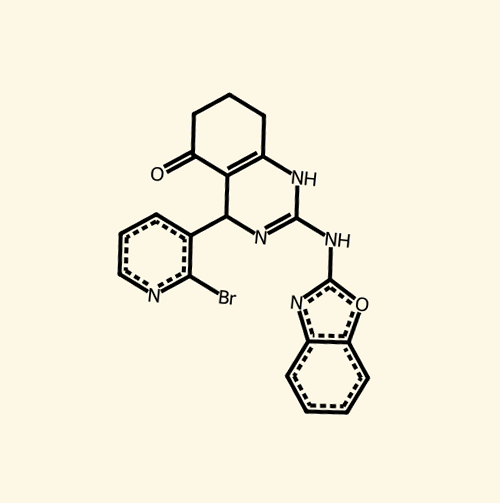 O=C1CCCC2=C1C(c1cccnc1Br)N=C(Nc1nc3ccccc3o1)N2